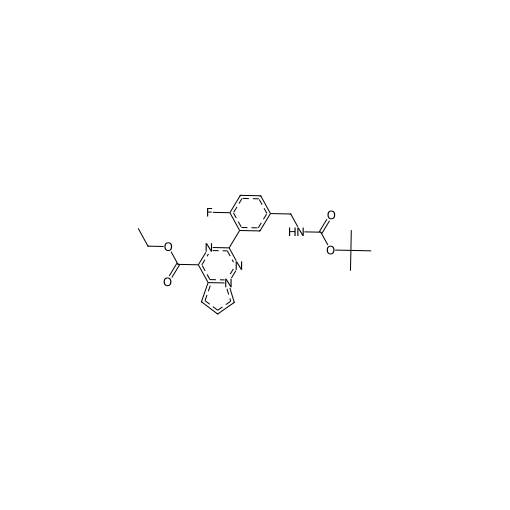 CCOC(=O)c1nc(-c2cc(CNC(=O)OC(C)(C)C)ccc2F)nn2cccc12